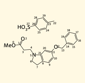 COC(=O)CCN1CCc2ccc(OCc3ccccc3)cc21.Cc1ccc(S(=O)(=O)O)cc1